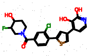 O=C(c1ccc(-c2cc(-c3ccnc(O)c3O)cs2)c(Cl)c1)N1CCC(O)C(F)C1